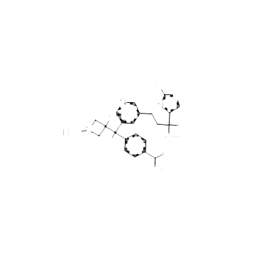 Cc1nc(C(C)(O)CCc2cncc(C(O)(c3ccc(C(C)C)cc3)C3(C)CN(C)C3)c2)cs1